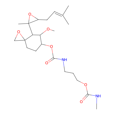 CNC(=O)OCCCNC(=O)OC1CCC2(CO2)C(C2(C)OC2CC=C(C)C)C1OC